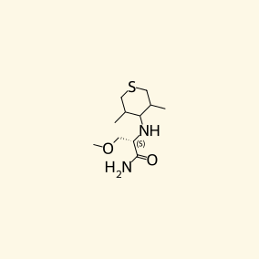 COC[C@H](NC1C(C)CSCC1C)C(N)=O